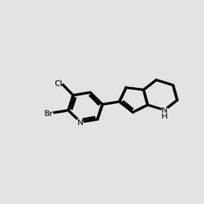 Clc1cc(C2=CC3NCCCC3C2)cnc1Br